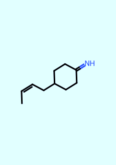 C/C=C\CC1CCC(=N)CC1